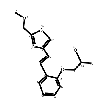 COCc1nc(/C=C/c2ccccc2OCC(C)O)cs1